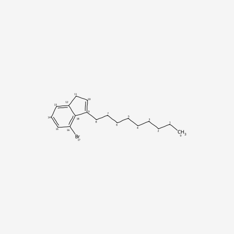 CCCCCCCCCC1=CCc2cccc(Br)c21